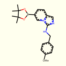 COc1ccc(CNc2ncc3ccc(B4OC(C)(C)C(C)(C)O4)cn23)cc1